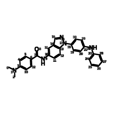 CN(C)c1ccc(C(=O)Nc2ccc3c(cnn3-c3ccc(Nc4ccccc4)cc3)c2)cc1